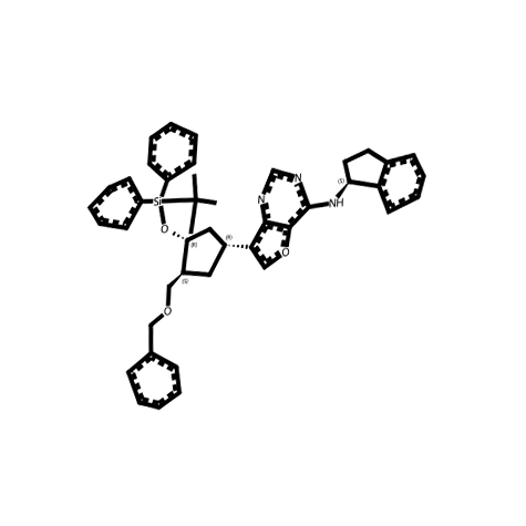 CC(C)(C)[Si](O[C@@H]1C[C@H](c2coc3c(N[C@H]4CCc5ccccc54)ncnc23)C[C@H]1COCc1ccccc1)(c1ccccc1)c1ccccc1